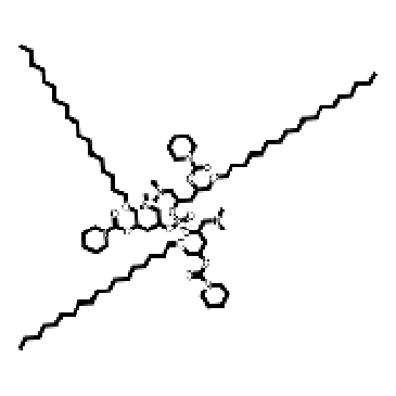 CCCCCCCCCCCCCCCCCCOCC(CC(CN(C)C)OP(=O)(OC(CC(COCCCCCCCCCCCCCCCCCC)OC(=O)N1CCCCC1)CN(C)C)OC(CC(COCCCCCCCCCCCCCCCCCC)OC(=O)N1CCCCC1)CN(C)C)OC(=O)N1CCCCC1